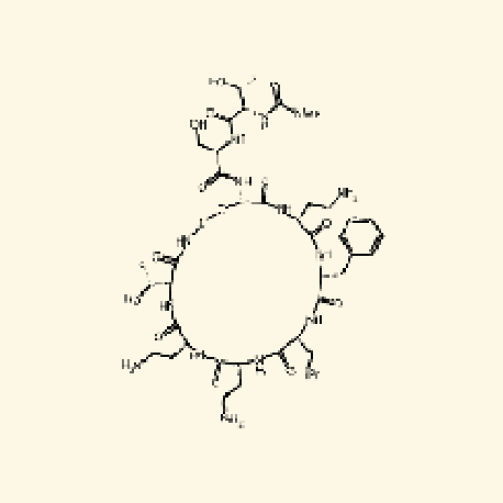 CNC(=O)N[C@H](C(=O)N[C@H](CO)C(=O)N[C@H]1CCNC(=O)[C@H]([C@@H](C)O)NC(=O)[C@H](CCN)NC(=O)[C@H](CCN)NC(=O)[C@H](CC(C)C)NC(=O)[C@@H](Cc2ccccc2)NC(=O)[C@H](CCN)NC1=O)[C@@H](C)O